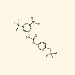 O=C(Nc1ccc(SC(F)(F)F)cc1)Nc1cc([N+](=O)[O-])cc(C(F)(F)F)c1